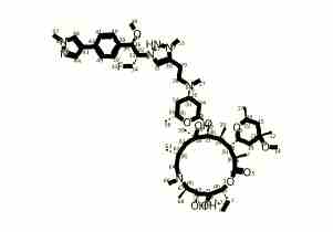 CC[C@H]1OC(=O)[C@H](C)[C@@H](C2C[C@@](C)(OC)C[C@H](C)O2)[C@H](C)[C@@H](O[C@H]2C[C@@H](N(C)CCC3=CN([C@H](CF)[C@H](OC)c4ccc(-c5cnn(C)c5)cc4)NN3C)C[C@@H](C)O2)[C@](C)(O)C[C@@H](C)CN(C)[C@H](C)[C@@H](O)[C@]1(C)O